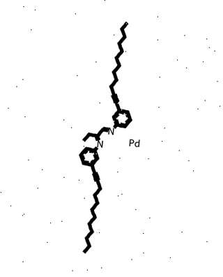 CCCCCCCCCCC#Cc1cccc(N=CC(CC)=Nc2cccc(C#CCCCCCCCCCC)c2)c1.[Pd]